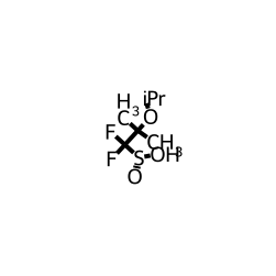 CC(C)OC(C)(C)C(F)(F)S(=O)O